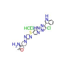 C[C@@H]1OCC2(CCN(c3cnc(Sc4ccnc(Nc5ncc(Cl)c(-c6c[nH]c7ccccc67)n5)c4Cl)cn3)CC2)[C@@H]1N.Cl